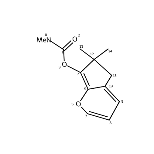 CNC(=O)OC1=C2OC=CC=C2CC1(C)C